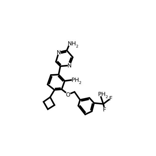 Nc1cnc(-c2ccc(C3CCC3)c(OCc3cccc(C(F)(F)P)c3)c2P)cn1